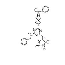 CN(Cc1ccccc1)c1cc(/C=C2\SC(=O)NC2=O)nc(N2CC3(CN(C(=O)c4ccccc4)C3)C2)n1